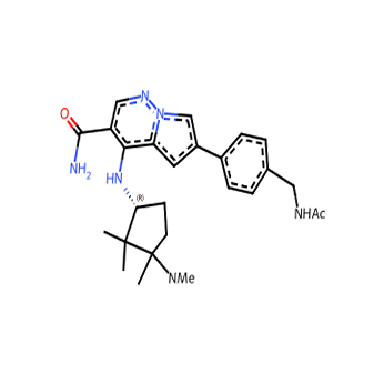 CNC1(C)CC[C@@H](Nc2c(C(N)=O)cnn3cc(-c4ccc(CNC(C)=O)cc4)cc23)C1(C)C